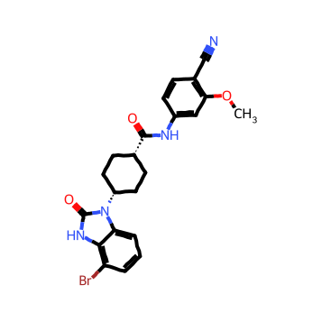 COc1cc(NC(=O)[C@H]2CC[C@@H](n3c(=O)[nH]c4c(Br)cccc43)CC2)ccc1C#N